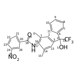 Cc1cc(C(O)(c2ccccc2)C(F)(F)F)cc(C)c1NC(=O)c1cccc([N+](=O)[O-])c1